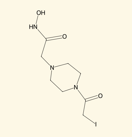 O=C(CN1CCN(C(=O)CI)CC1)NO